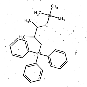 CC(C[P+](c1ccccc1)(c1ccccc1)c1ccccc1)C(C)O[Si](C)(C)C.[I-]